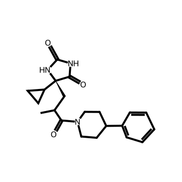 CC(C[C@@]1(C2CC2)NC(=O)NC1=O)C(=O)N1CCC(c2ccccc2)CC1